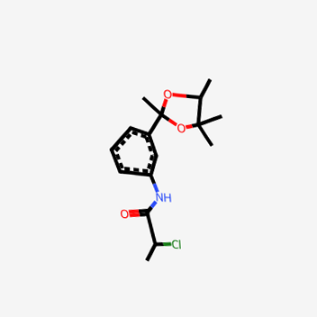 CC(Cl)C(=O)Nc1cccc(C2(C)OC(C)C(C)(C)O2)c1